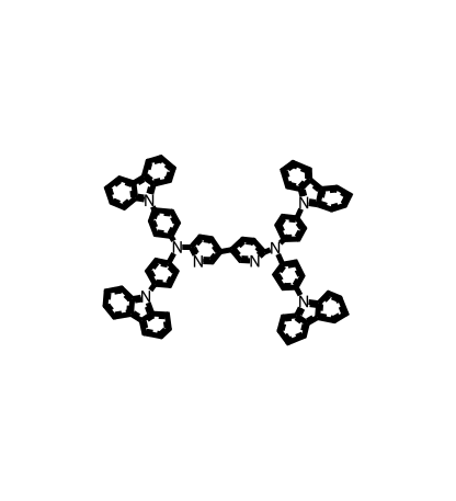 c1ccc2c(c1)c1ccccc1n2-c1ccc(N(c2ccc(-n3c4ccccc4c4ccccc43)cc2)c2ccc(-c3ccc(N(c4ccc(-n5c6ccccc6c6ccccc65)cc4)c4ccc(-n5c6ccccc6c6ccccc65)cc4)nc3)cn2)cc1